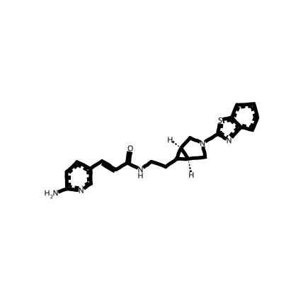 Nc1ccc(/C=C/C(=O)NCCC2[C@H]3CN(c4nc5ccccc5s4)C[C@@H]23)cn1